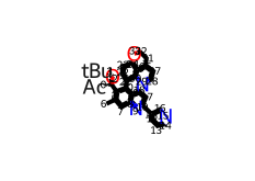 CC(=O)[C@@H](OC(C)(C)C)c1c(C)cc2nc(-c3cccnc3)ccc2c1-c1ccc2c3c(ccnc13)CCO2